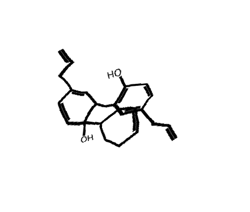 C=CCC1=CC(c2cc(CC=C)ccc2O)C(O)(C2CC=CCC2)C=C1